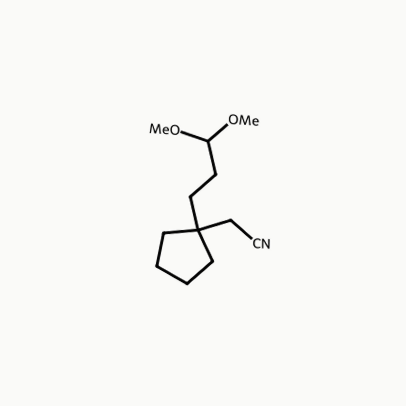 COC(CCC1(CC#N)CCCC1)OC